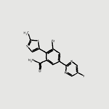 CCc1cc(-c2ncc(F)cn2)cc(C(N)=O)c1-c1cnc(C)s1